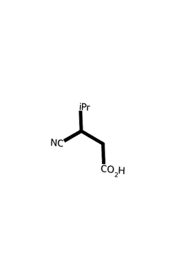 CC(C)C(C#N)CC(=O)O